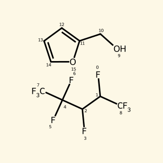 FC(C(F)C(F)(F)C(F)(F)F)C(F)(F)F.OCc1ccco1